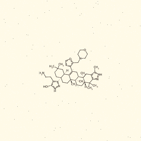 Cc1[nH]nc2c1C[C@]1(C)C3CC(c4ccoc4CN4CCOCC4)=C4[C@@H]5CC(C)(C)CC[C@]5(c5n[nH]c(O)c5CCN)CC[C@@]4(C)[C@]3(C)CC[C@H]1C2(C)C